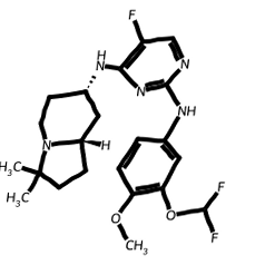 COc1ccc(Nc2ncc(F)c(N[C@H]3CCN4[C@@H](CCC4(C)C)C3)n2)cc1OC(F)F